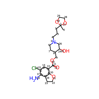 CC1(CCCN2CCC(COC(=O)c3cc(Cl)c(N)c4c3OCC4)C(O)C2)OCCO1